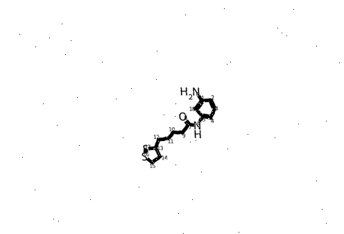 Nc1cccc(NC(=O)CCCCC2CCSS2)c1